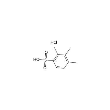 Cc1ccc(S(=O)(=O)O)c(C)c1C.Cl